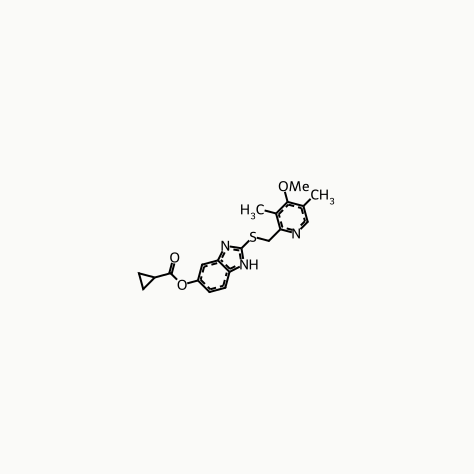 COc1c(C)cnc(CSc2nc3cc(OC(=O)C4CC4)ccc3[nH]2)c1C